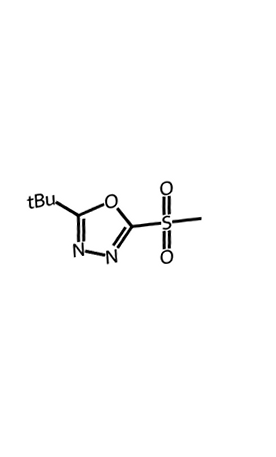 CC(C)(C)c1nnc(S(C)(=O)=O)o1